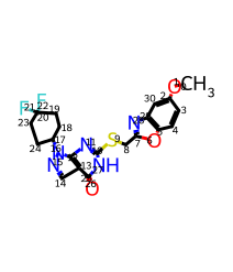 COc1ccc2oc(CSc3nc4c(cnn4C4CCC(F)(F)CC4)c(=O)[nH]3)nc2c1